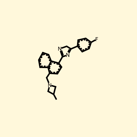 CC1CN(Cc2ccc(C3=NCC(c4ccc(F)cc4)=N3)c3ccccc23)C1